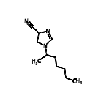 CCCCCC(C)N1C=NC(C#N)C1